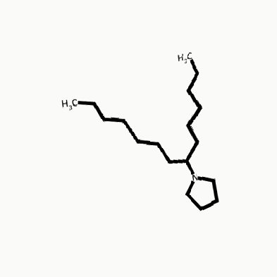 CCCCCCCC(CCCCCC)N1CCCC1